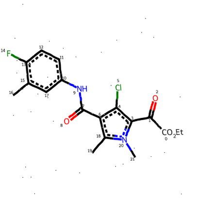 CCOC(=O)C(=O)c1c(Cl)c(C(=O)Nc2ccc(F)c(C)c2)c(C)n1C